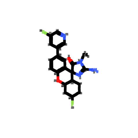 CN1C(=O)C2(N=C1N)c1cc(-c3cncc(F)c3)ccc1OC1CC(F)CCC12